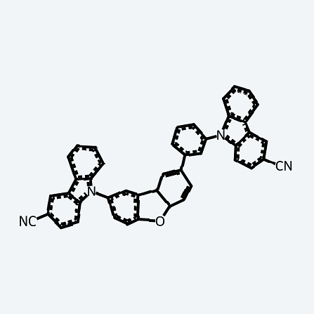 N#Cc1ccc2c(c1)c1ccccc1n2-c1cccc(C2=CC3c4cc(-n5c6ccccc6c6cc(C#N)ccc65)ccc4OC3C=C2)c1